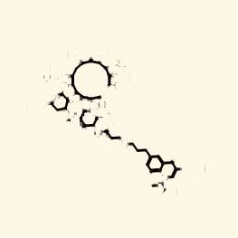 CC[C@H]1OC(=O)[C@H](C)[C@@H](O[C@H]2C[C@@](C)(OC)[C@@H](OC(=O)CCNCCCc3cc4c5c(c3)c(=O)c(C(=O)O)cn5N(C)CO4)[C@H](C)O2)[C@H](C)[C@@H](O[C@@H]2O[C@H](C)C[C@H](N(C)C)[C@H]2O)[C@](C)(OC)C[C@@H](C)C(=O)C(C)[C@@H](O)[C@]1(C)O